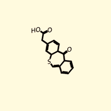 O=C(O)CC1=CC2SC=C3C=CC=CC3C(=O)C2C=C1